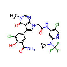 Cn1cnc2c(c(-c3cc(Cl)c(O)c(C(N)=O)c3)cn2CC(=O)Nc2cc(N(C3CC3)C(F)(F)F)ncc2Cl)c1=O